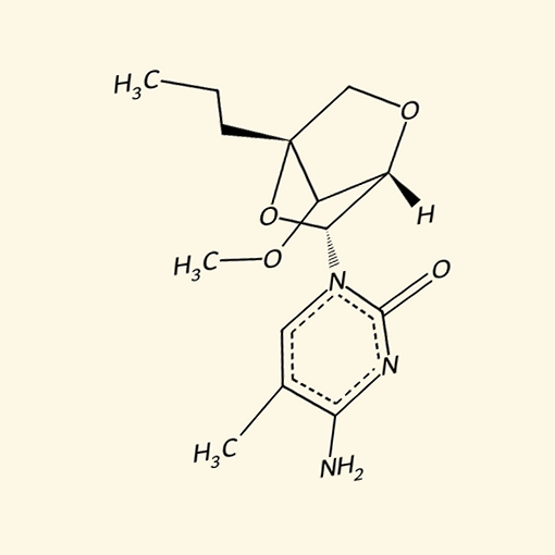 CCC[C@@]12CO[C@@H](C1OC)[C@H](n1cc(C)c(N)nc1=O)O2